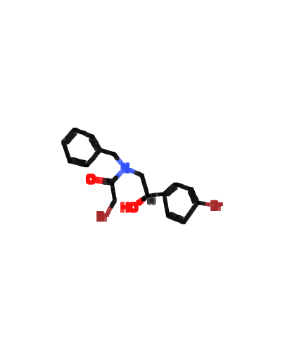 O=C(CBr)N(Cc1ccccc1)C[C@H](O)c1ccc(Br)cc1